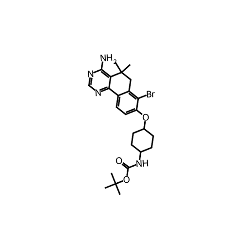 CC(C)(C)OC(=O)NC1CCC(Oc2ccc3c(c2Br)CC(C)(C)c2c(N)ncnc2-3)CC1